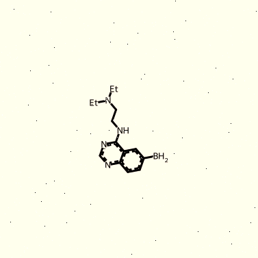 Bc1ccc2ncnc(NCCN(CC)CC)c2c1